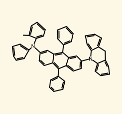 Cc1ccccc1N(c1ccccc1)c1ccc2c(-c3ccccc3)c3ccc(N4c5ccccc5Cc5ccccc54)cc3c(-c3ccccc3)c2c1